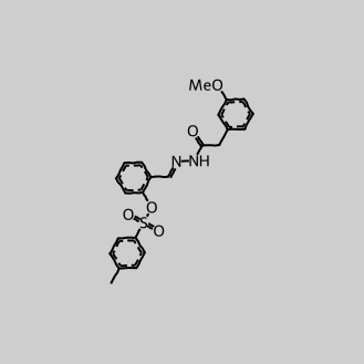 COc1cccc(CC(=O)N/N=C/c2ccccc2OS(=O)(=O)c2ccc(C)cc2)c1